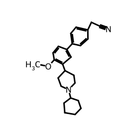 COc1ccc(-c2ccc(CC#N)cc2)cc1C1CCN(C2CCCCC2)CC1